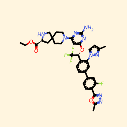 CCOC(=O)[C@@H]1CC2(CCN(c3cc(O[C@H](c4ccc(-c5ccc(-c6nnc(C)o6)c(F)c5)cc4-n4ccc(C)n4)C(F)(F)F)nc(N)n3)CC2)CN1